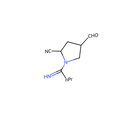 CCCC(=N)N1CC(C=O)CC1C#N